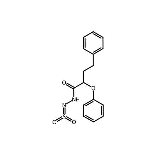 O=C(NN=S(=O)=O)C(CCc1ccccc1)Oc1ccccc1